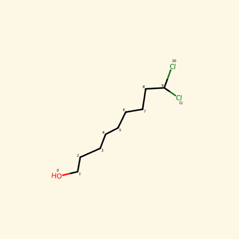 OCCCCCCCCC(Cl)Cl